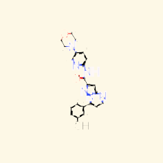 Cc1cccc(-c2ccnc3cc(C(=O)Nc4ccc(N5CCOCC5)cn4)nn23)c1